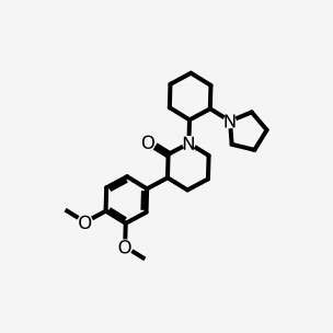 COc1ccc(C2CCCN(C3CCCCC3N3CCCC3)C2=O)cc1OC